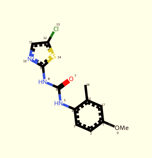 COc1ccc(NC(=O)Nc2ncc(Cl)s2)c(C)c1